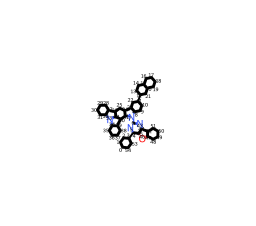 c1ccc(-c2nc(-n3c4ccc(-c5ccc6ccccc6c5)cc4c4cc5c6ccccc6n6c7ccccc7c(c43)c56)nc3c2oc2ccccc23)cc1